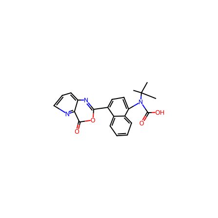 CC(C)(C)N(C(=O)O)c1ccc(-c2nc3cccnc3c(=O)o2)c2ccccc12